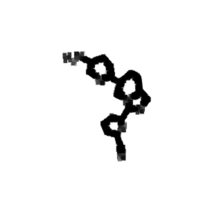 N#Cc1cccc(-c2ncc3ccc(-c4ccc(N)cn4)cn23)n1